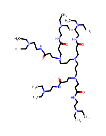 CCN(CC)CCNC(=O)CCN(CCCN(CCC(=O)NCCN(CC)CC)CCC(=O)NCCN(CC)CC)CCCN(CCC(=O)NCCN(CC)CC)CCC(=O)NCCN(CC)CC